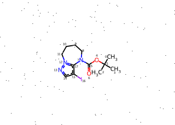 CC(C)(C)OC(=O)N1CCCCn2ncc(I)c21